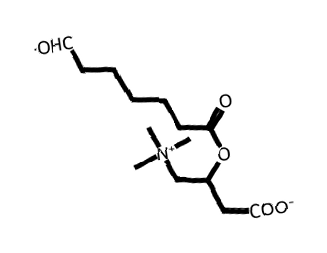 C[N+](C)(C)CC(CC(=O)[O-])OC(=O)CCCCC[C]=O